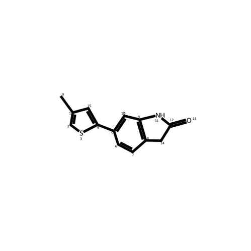 Cc1csc(-c2ccc3c(c2)NC(=O)C3)c1